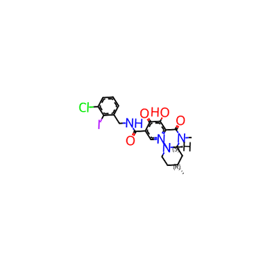 C[C@@H]1CCN2[C@@H](C1)N(C)C(=O)c1c(O)c(=O)c(C(=O)NCc3cccc(Cl)c3I)cn12